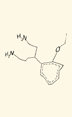 CCOc1ccccc1C(CN)CN